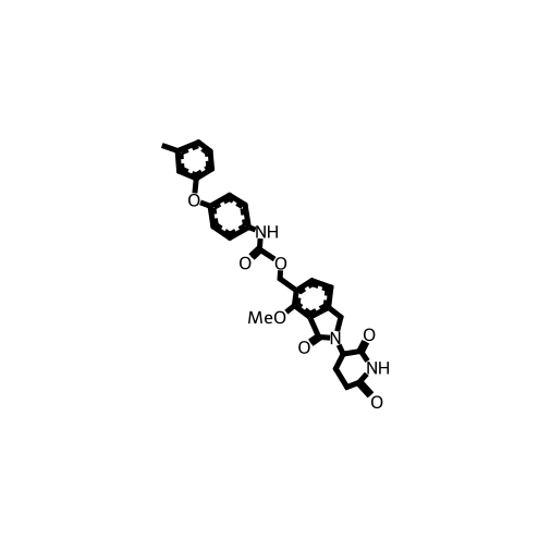 COc1c(COC(=O)Nc2ccc(Oc3cccc(C)c3)cc2)ccc2c1C(=O)N(C1CCC(=O)NC1=O)C2